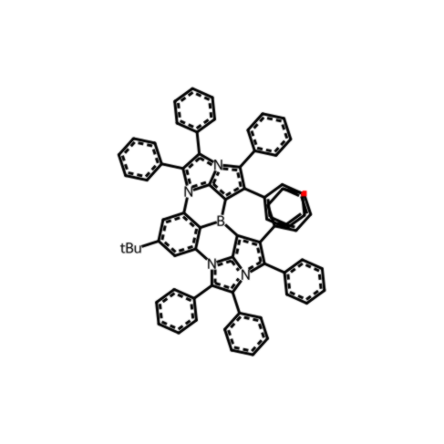 CC(C)(C)c1cc2c3c(c1)-n1c(-c4ccccc4)c(-c4ccccc4)n4c(-c5ccccc5)c(C5=CC=CCC5)c(c14)B3c1c(C3=C=C=CC=C3)c(-c3ccccc3)n3c(-c4ccccc4)c(-c4ccccc4)n-2c13